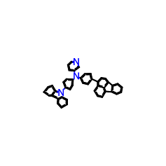 c1cncc(N(c2ccc(-c3ccc4c5c(cccc35)-c3ccccc3-4)cc2)c2ccc(-n3c4ccccc4c4ccccc43)cc2)c1